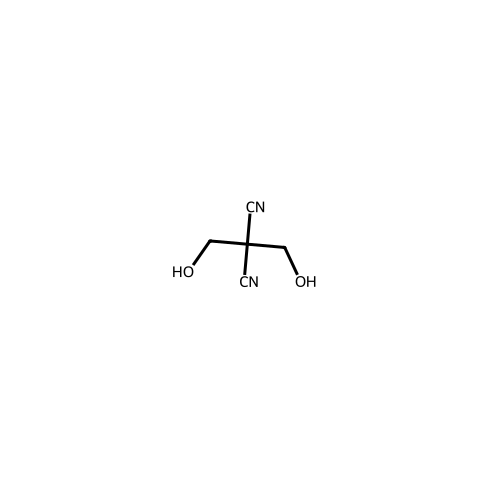 N#CC(C#N)(CO)CO